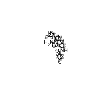 NC1=N[C@@]2(CCO1)c1cc(NC(=O)c3ccc(Cl)cn3)ccc1Oc1ncc(-c3ccnc(F)c3)cc12